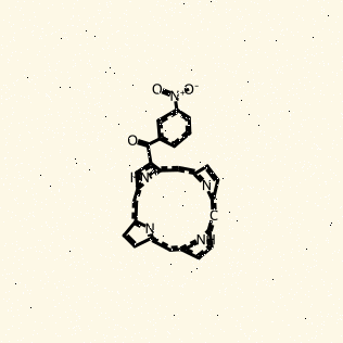 O=C(c1cccc([N+](=O)[O-])c1)c1cc2cc3nc(cc4ccc(cc5nc(cc1[nH]2)C=C5)[nH]4)C=C3